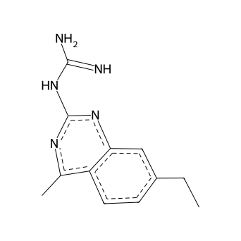 CCc1ccc2c(C)nc(NC(=N)N)nc2c1